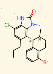 CCCc1cc(Cl)c2[nH]c(=O)n(C)c2c1[C@H]1c2cccc(Br)c2CC[C@@H]1C